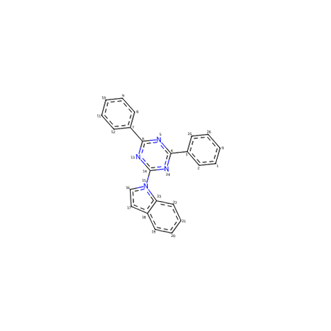 c1ccc(-c2nc(-c3ccccc3)nc(-n3ccc4ccccc43)n2)cc1